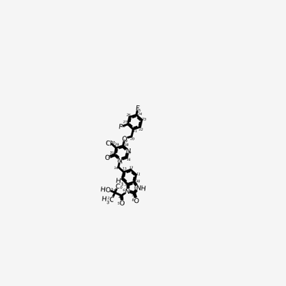 CC(C)(O)C(=O)n1c(=O)[nH]c2ccc(Cn3cnc(OCc4ccc(F)cc4F)c(Cl)c3=O)cc21